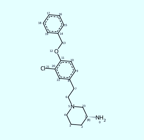 N[C@@H]1CCCN(CCc2ccc(OCc3ccccc3)c(Cl)c2)C1